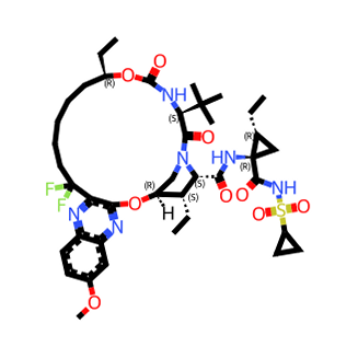 CC[C@@H]1CCCCCC(F)(F)c2nc3ccc(OC)cc3nc2O[C@H]2CN(C(=O)[C@H](C(C)(C)C)NC(=O)O1)[C@H](C(=O)N[C@]1(C(=O)NS(=O)(=O)C3CC3)C[C@H]1CC)[C@@H]2CC